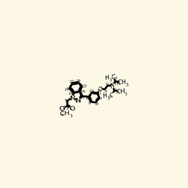 COC(=O)Cn1nc(-c2cccc(OCCN(C(C)C)C(C)C)c2)c2ccccc21